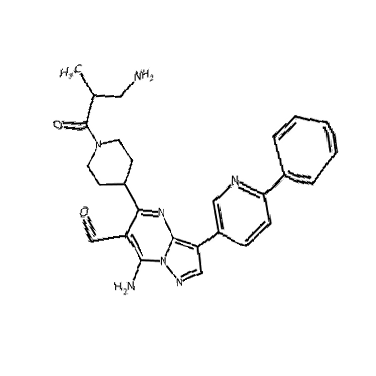 CC(CN)C(=O)N1CCC(c2nc3c(-c4ccc(-c5ccccc5)nc4)cnn3c(N)c2C=O)CC1